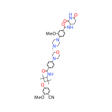 COc1cc(O[C@H]2C(C)(C)[C@H](NC(=O)c3ccc(N4CCO[C@@H](CN5CCN(c6ccc(C(=O)NC7CCC(=O)NC7=O)cc6OC)CC5)C4)cc3)C2(C)C)ccc1C#N